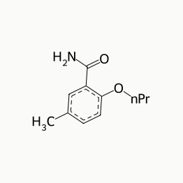 CCCOc1ccc(C)cc1C(N)=O